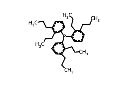 CCCc1cccc(P(c2cccc(CCC)c2CCC)c2cccc(CCC)c2CCC)c1CCC